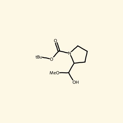 COC(O)C1CCCN1C(=O)OC(C)(C)C